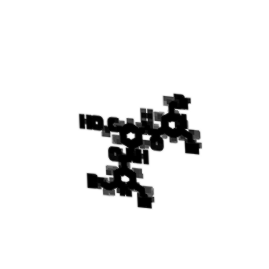 O=C(O)c1cc(NC(=O)c2cc(CBr)nc(CBr)c2)cc(NC(=O)c2cc(CBr)nc(CBr)c2)c1